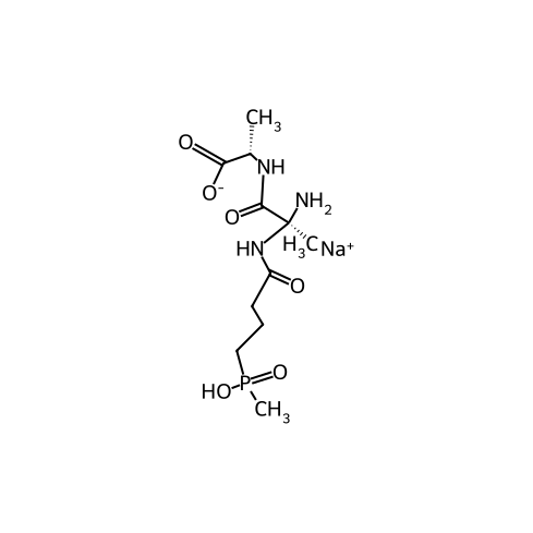 C[C@H](NC(=O)[C@@](C)(N)NC(=O)CCCP(C)(=O)O)C(=O)[O-].[Na+]